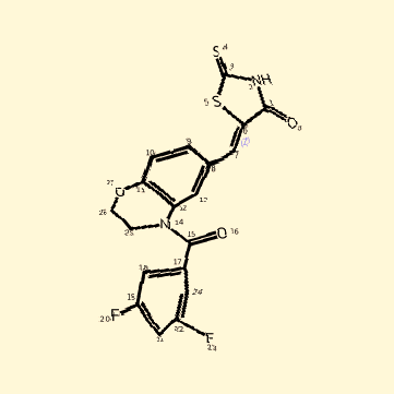 O=C1NC(=S)S/C1=C\c1ccc2c(c1)N(C(=O)c1cc(F)cc(F)c1)CCO2